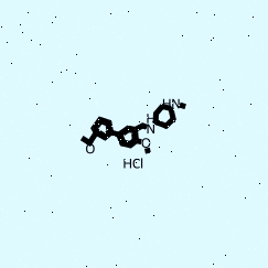 CNC1CCC(NCc2cc(-c3cccc(C(C)=O)c3)ccc2OC)CC1.Cl